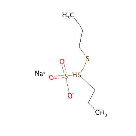 CCCS[SH](CCC)S(=O)(=O)[O-].[Na+]